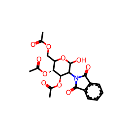 CC(=O)OCC1OC(O)C(N2C(=O)c3ccccc3C2=O)[C@@H](OC(C)=O)[C@@H]1OC(C)=O